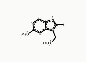 CCOC(=O)C[n+]1c(C)[te]c2ccc(OC)cc21